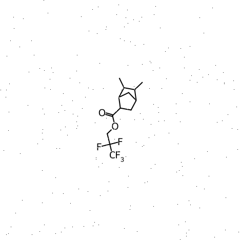 CC1C2CC(C(=O)OCC(F)(F)C(F)(F)F)C(C2)C1C